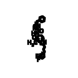 CN1C(=O)[C@H](NC(=O)c2ncn(Cc3ccccc3)n2)CCn2nc(CCCN3CCC(F)(F)C3)cc21